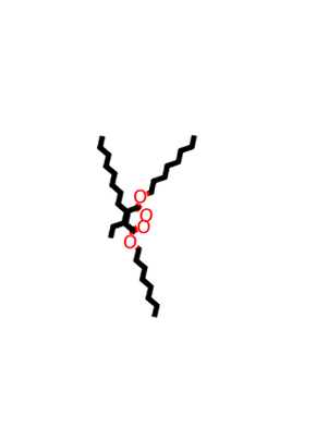 CCCCCCCCOC(=O)/C(CC)=C(/CCCCCCCC)C(=O)OCCCCCCCC